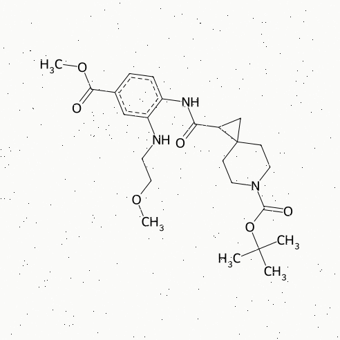 COCCNc1cc(C(=O)OC)ccc1NC(=O)C1CC12CCN(C(=O)OC(C)(C)C)CC2